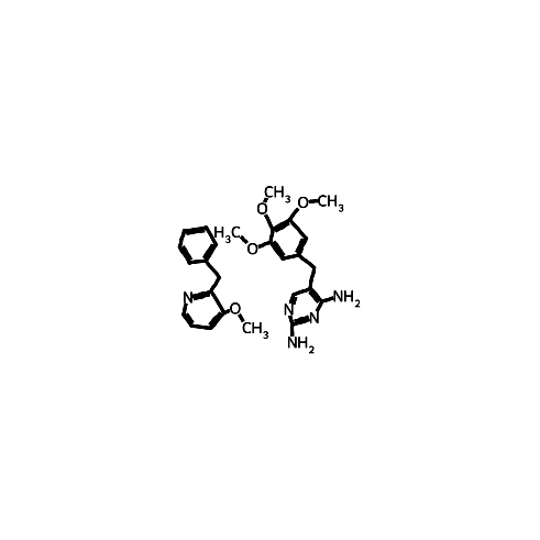 COc1cc(Cc2cnc(N)nc2N)cc(OC)c1OC.COc1cccnc1Cc1ccccc1